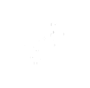 CCC(C)(C)C(=O)OC12CC3CC(CC(OCC(F)(F)CC(F)(F)CC(F)(F)F)(C3)C1)C2